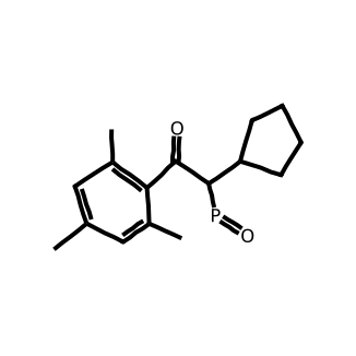 Cc1cc(C)c(C(=O)C(P=O)C2CCCC2)c(C)c1